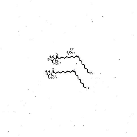 CCC.CCCCCCCCCC(CC)[N+](C)(C)C(=O)CCCCCCC/C=C\CCCCCCCC(C)C.CCCCCCCCCC(CC)[N+](C)(C)C(=O)CCCCCCC/C=C\CCCCCCCC(C)C.[Cl-].[Cl-]